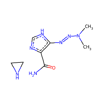 C1CN1.CN(C)/N=N/c1[nH]cnc1C(N)=O